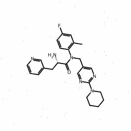 Cc1cc(F)ccc1N(Cc1cnc(N2CCCCC2)nc1)C(=O)[C@@H](N)Cc1cccnc1